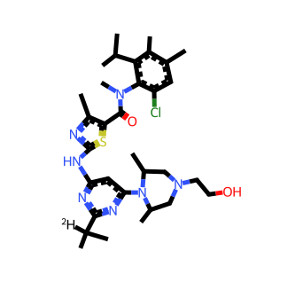 [2H]C(C)(C)c1nc(Nc2nc(C)c(C(=O)N(C)c3c(Cl)cc(C)c(C)c3C(C)C)s2)cc(N2C(C)CN(CCO)CC2C)n1